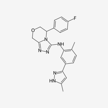 Cc1cc(-c2ccc(C)c(Nc3nnc4n3C(c3ccc(F)cc3)COC4)c2)n[nH]1